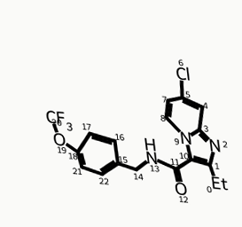 CCc1nc2cc(Cl)ccn2c1C(=O)NCc1ccc(OC(F)(F)F)cc1